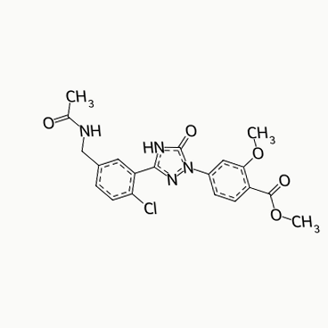 COC(=O)c1ccc(-n2nc(-c3cc(CNC(C)=O)ccc3Cl)[nH]c2=O)cc1OC